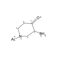 BC1CN(C(C)=O)CCC1=O